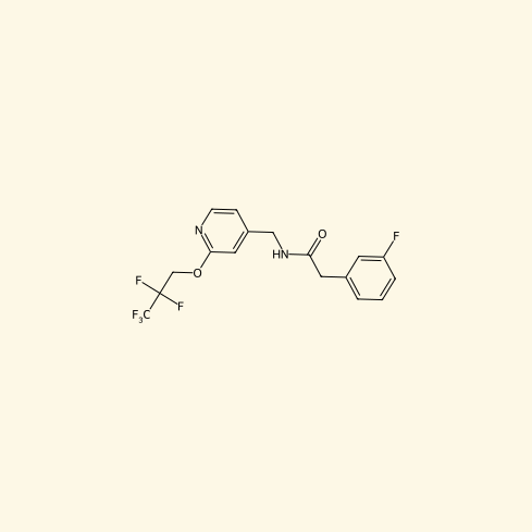 O=C(Cc1cccc(F)c1)NCc1ccnc(OCC(F)(F)C(F)(F)F)c1